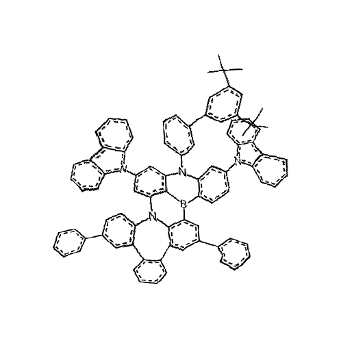 CC(C)(C)c1cc(-c2cccc(N3c4cc(-n5c6ccccc6c6ccccc65)ccc4B4c5cc(-c6ccccc6)cc6c5N(c5ccc(-c7ccccc7)cc5-c5ccccc5-6)c5cc(-n6c7ccccc7c7ccccc76)cc3c54)c2)cc(C(C)(C)C)c1